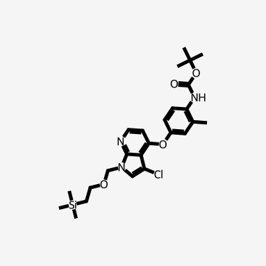 Cc1cc(Oc2ccnc3c2c(Cl)cn3COCC[Si](C)(C)C)ccc1NC(=O)OC(C)(C)C